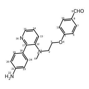 CN(CCOc1ccc(C=O)cc1)c1cccnc1-c1ccc(N)cc1